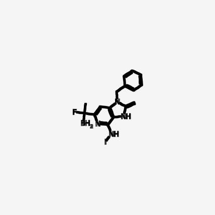 BC(C)(F)c1cc2c(c(NI)n1)NC(=C)N2Cc1ccccc1